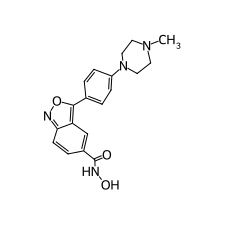 CN1CCN(c2ccc(-c3onc4ccc(C(=O)NO)cc34)cc2)CC1